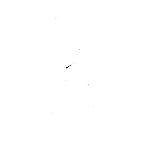 Cc1c(I)c2c(Cl)ncnc2n1C[C@@H]1CCCN1C(=O)OC(C)(C)C